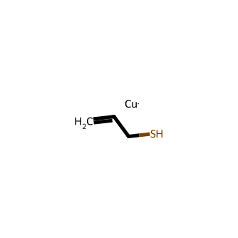 C=CCS.[Cu]